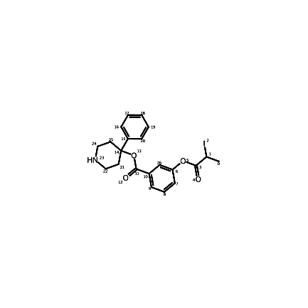 CC(I)C(=O)Oc1cccc(C(=O)OC2(c3ccccc3)CCNCC2)c1